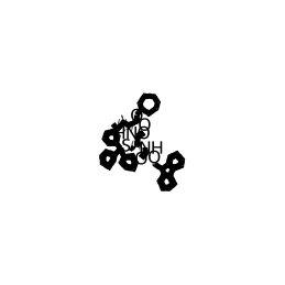 CC[C@H](C)[C@H](NC(=O)[C@H](CSC(c1ccccc1)(c1ccccc1)c1ccccc1)NC(=O)OCC1c2ccccc2-c2ccccc21)C(=O)OC1CCCCCC1